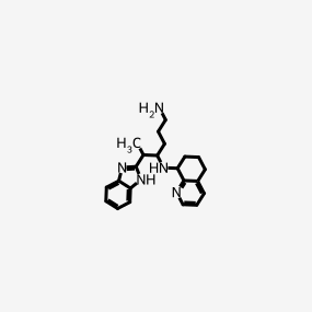 CC(c1nc2ccccc2[nH]1)C(CCCN)NC1CCCc2cccnc21